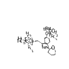 CC1(C)OB(/C=C/c2nn(C3CCCCO3)c3ccc(O[Si](C)(C)C(C)(C)C)cc23)OC1(C)C